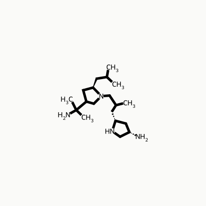 CC(C)C[C@@H]1CC(C(C)(C)N)CN1CC(C)C[C@@H]1C[C@H](N)CN1